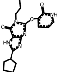 CCCn1c(Oc2ccc[nH]c2=O)nc2nc(C3CCCC3)[nH]c2c1=O